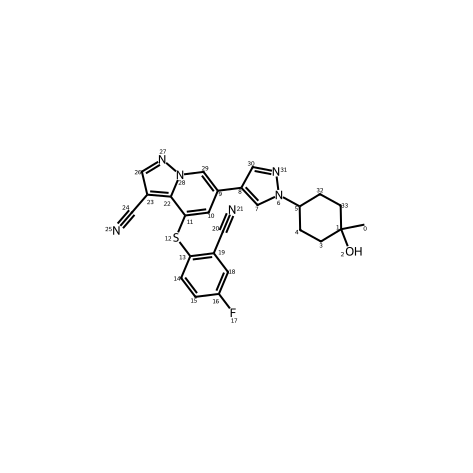 CC1(O)CCC(n2cc(-c3cc(Sc4ccc(F)cc4C#N)c4c(C#N)cnn4c3)cn2)CC1